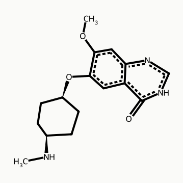 CN[C@H]1CC[C@@H](Oc2cc3c(=O)[nH]cnc3cc2OC)CC1